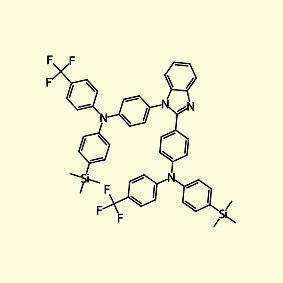 C[Si](C)(C)c1ccc(N(c2ccc(-c3nc4ccccc4n3-c3ccc(N(c4ccc(C(F)(F)F)cc4)c4ccc([Si](C)(C)C)cc4)cc3)cc2)c2ccc(C(F)(F)F)cc2)cc1